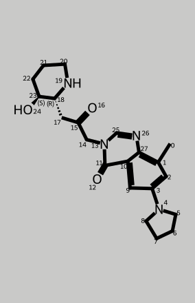 Cc1cc(N2CCCC2)cc2c(=O)n(CC(=O)C[C@H]3NCCC[C@@H]3O)cnc12